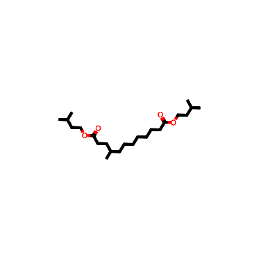 CC(C)CCOC(=O)CCCCCCCC(C)CCC(=O)OCCC(C)C